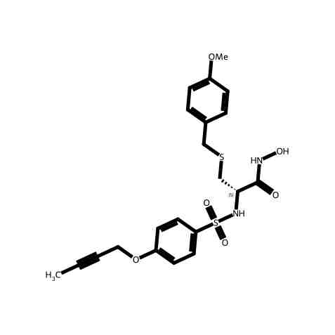 CC#CCOc1ccc(S(=O)(=O)N[C@H](CSCc2ccc(OC)cc2)C(=O)NO)cc1